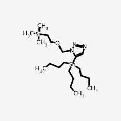 CCC[CH2][Sn]([CH2]CCC)([CH2]CCC)[c]1cnnn1COCC[Si](C)(C)C